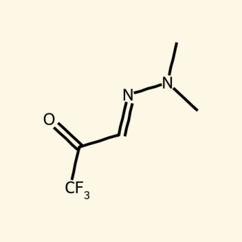 CN(C)N=CC(=O)C(F)(F)F